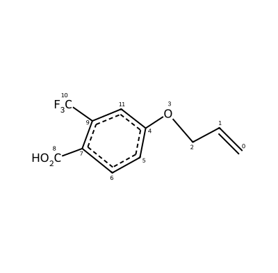 C=CCOc1ccc(C(=O)O)c(C(F)(F)F)c1